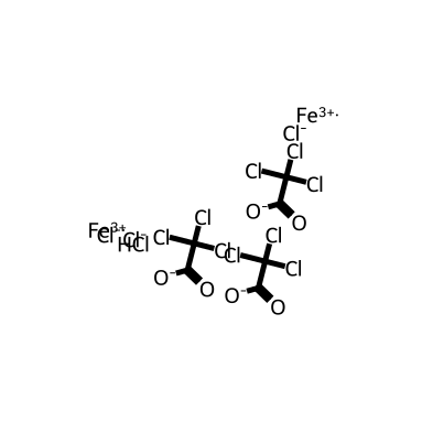 Cl.O=C([O-])C(Cl)(Cl)Cl.O=C([O-])C(Cl)(Cl)Cl.O=C([O-])C(Cl)(Cl)Cl.[Cl-].[Cl-].[Cl-].[Fe+3].[Fe+3]